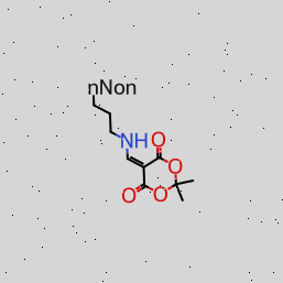 CCCCCCCCCCCCNC=C1C(=O)OC(C)(C)OC1=O